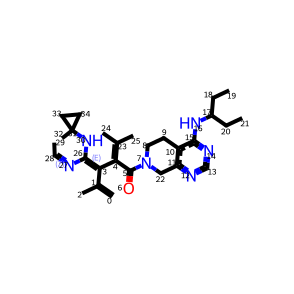 C=C(C)/C(C(C(=O)N1CCc2c(ncnc2NC(CC)CC)C1)=C(C)C)=C(\N=C/C)NC1(C)CC1